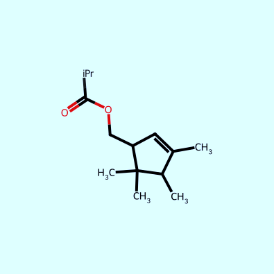 CC1=CC(COC(=O)C(C)C)C(C)(C)C1C